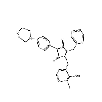 O=C1C(Cc2cccc(F)c2O)N(Cc2ccncc2)C(=O)N1c1ccc(N2CCOCC2)cc1